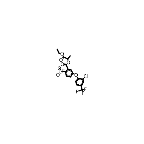 CCOC(=O)C(C)OC(=O)c1cc(Oc2ccc(C(F)(F)F)cc2Cl)ccc1[N+](=O)[O-]